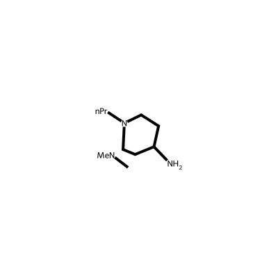 CCCN1CCC(N)CC1.CNC